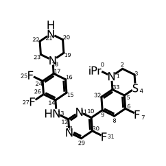 CC(C)N1CCSc2c(F)cc(-c3nc(Nc4ccc(N5CCNCC5)c(F)c4F)ncc3F)cc21